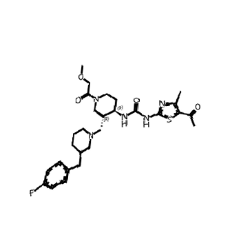 COCC(=O)N1CC[C@@H](NC(=O)Nc2nc(C)c(C(C)=O)s2)[C@H](CN2CCCC(Cc3ccc(F)cc3)C2)C1